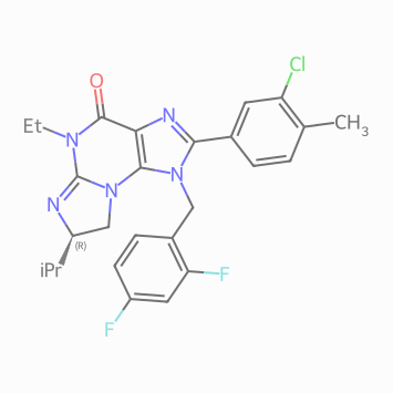 CCN1C(=O)c2nc(-c3ccc(C)c(Cl)c3)n(Cc3ccc(F)cc3F)c2N2C[C@@H](C(C)C)N=C12